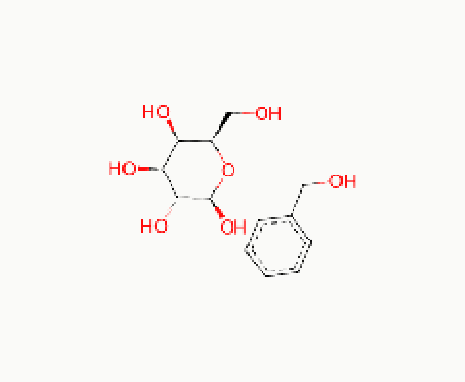 OC[C@H]1O[C@@H](O)[C@H](O)[C@@H](O)[C@H]1O.OCc1ccccc1